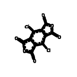 O=c1oc(=O)c2c(Cl)c3c(=O)oc(=O)c3c(Cl)c12